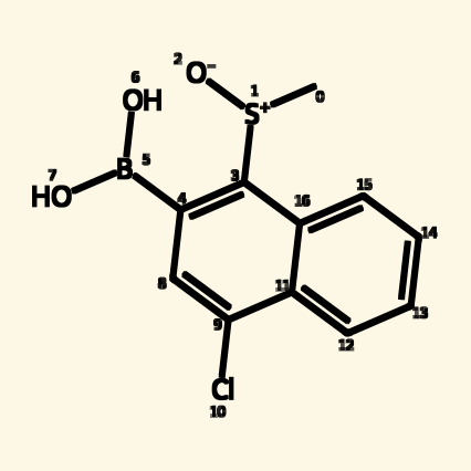 C[S+]([O-])c1c(B(O)O)cc(Cl)c2ccccc12